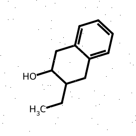 CCC1Cc2ccccc2CC1O